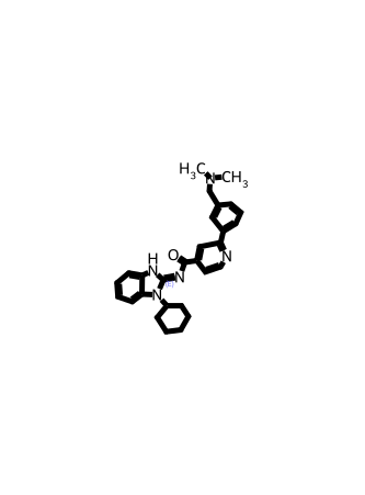 CN(C)Cc1cccc(-c2cc(C(=O)/N=c3\[nH]c4ccccc4n3C3CCCCC3)ccn2)c1